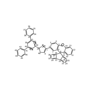 C1=C(c2ccc3c(c2)C2(c4ccccc4O3)c3ccccc3-c3ccccc32)SC(c2nc(-c3ccccc3)cc(-c3ccccc3)n2)C1